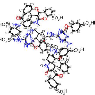 Cn1c(=O)c(C(=O)c2cccc(S(=O)(=O)O)c2)c2c3c(c(Nc4cc(Nc5nc(NCC6CCCC(CNc7nc(Nc8cc(Nc9ccc%10c%11c9C(=O)c9ccccc9-c%11c(C(=O)c9cccc(S(=O)(=O)O)c9)c(=O)n%10C)c(S(=O)(=O)O)cc8S(=O)(=O)O)nc(Oc8ccc(S(=O)(=O)O)cc8)n7)C6)nc(Oc6ccc(S(=O)(=O)O)cc6)n5)c(S(=O)(=O)O)cc4S(=O)(=O)O)ccc31)C(=O)c1ccccc1-2